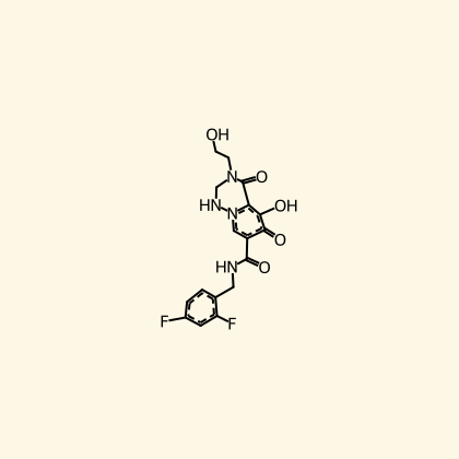 O=C(NCc1ccc(F)cc1F)c1cn2c(c(O)c1=O)C(=O)N(CCO)CN2